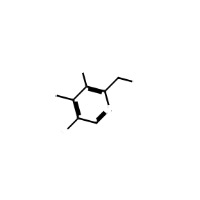 OCc1ncc(Br)c(I)c1F